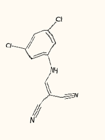 N#CC(C#N)=CNc1cc(Cl)cc(Cl)c1